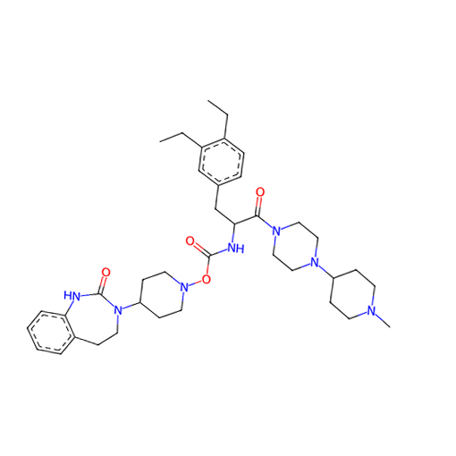 CCc1ccc(CC(NC(=O)ON2CCC(N3CCc4ccccc4NC3=O)CC2)C(=O)N2CCN(C3CCN(C)CC3)CC2)cc1CC